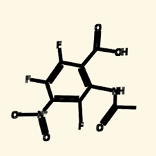 CC(=O)Nc1c(F)c([N+](=O)[O-])c(F)c(F)c1C(=O)O